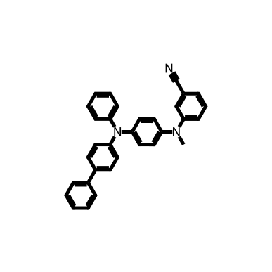 CN(c1ccc(N(c2ccccc2)c2ccc(-c3ccccc3)cc2)cc1)c1cccc(C#N)c1